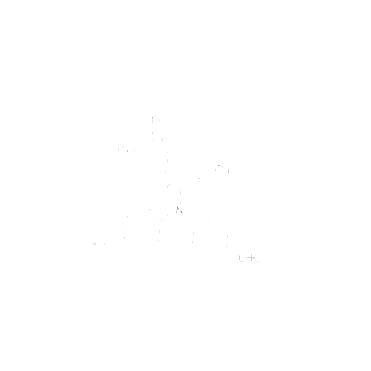 C#C/C(=C\C=C(/C)Br)N(c1ccc(C=O)cc1)c1ccc(C=O)cc1